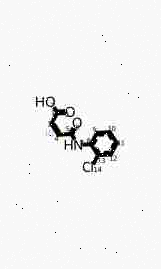 O=C(O)/C=C\C(=O)Nc1ccccc1Cl